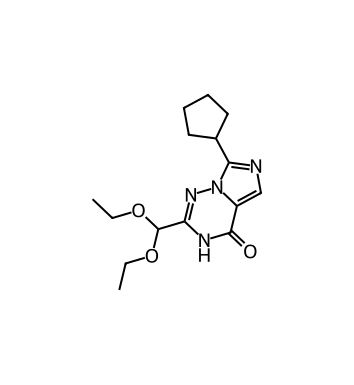 CCOC(OCC)c1nn2c(C3CCCC3)ncc2c(=O)[nH]1